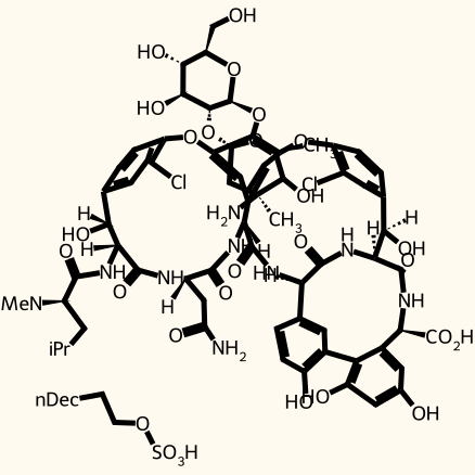 CCCCCCCCCCCCOS(=O)(=O)O.CN[C@H](CC(C)C)C(=O)N[C@H]1C(=O)N[C@@H](CC(N)=O)C(=O)N[C@H]2C(=O)N[C@H]3C(=O)N[C@H](C(=O)N[C@@H](C(=O)O)c4cc(O)cc(O)c4-c4cc3ccc4O)[C@H](O)c3ccc(c(Cl)c3)Oc3cc2cc(c3O[C@@H]2O[C@H](CO)[C@@H](O)[C@H](O)[C@H]2O[C@H]2C[C@](C)(N)C(O)[C@H](C)O2)Oc2ccc(cc2Cl)[C@H]1O